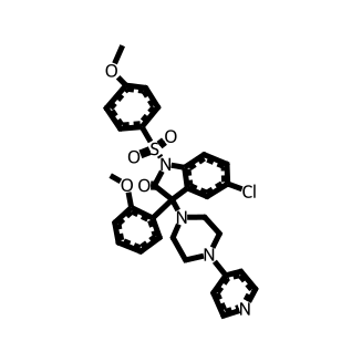 COc1ccc(S(=O)(=O)N2C(=O)C(c3ccccc3OC)(N3CCN(c4ccncc4)CC3)c3cc(Cl)ccc32)cc1